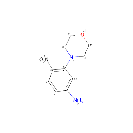 Nc1ccc([N+](=O)[O-])c(N2CCOCC2)c1